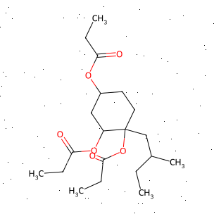 CCC(=O)OC1CCC(CC(C)CC)(OC(=O)CC)C(OC(=O)CC)C1